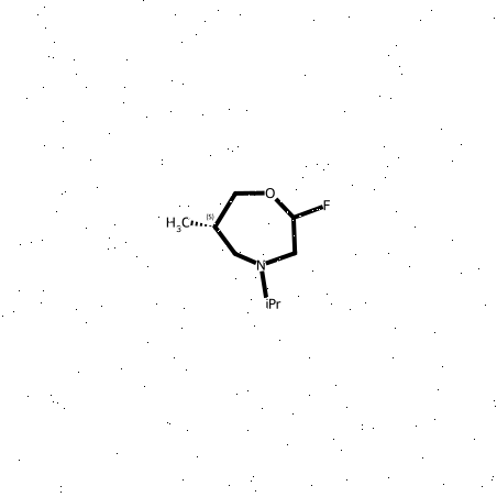 CC(C)N1CC(F)OC[C@@H](C)C1